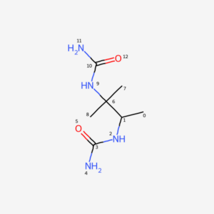 CC(NC(N)=O)C(C)(C)NC(N)=O